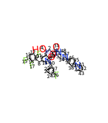 O=C(/C=C(/O)c1cc(Cc2c(F)ccc(F)c2F)cn(Cc2cccc(F)c2)c1=O)C(=O)N1CCN(c2ccc(-n3cccc3)cc2)CC1